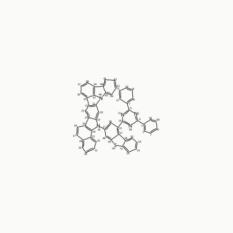 c1ccc(-c2nc(-c3ccccc3)nc(-c3cc(-n4c5cc6c(cc5c5ccc7ccccc7c54)c4cccc5c7ccccc7n6c54)cc4sc5ccccc5c34)n2)cc1